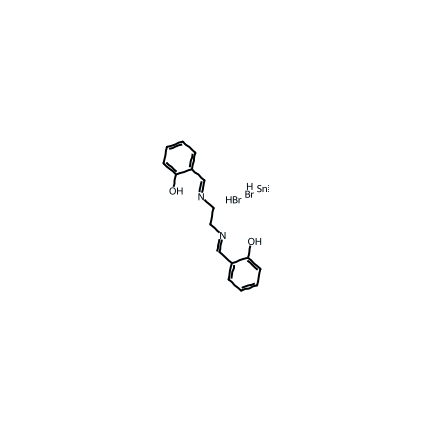 Br.Br.Oc1ccccc1C=NCCN=Cc1ccccc1O.[Sn]